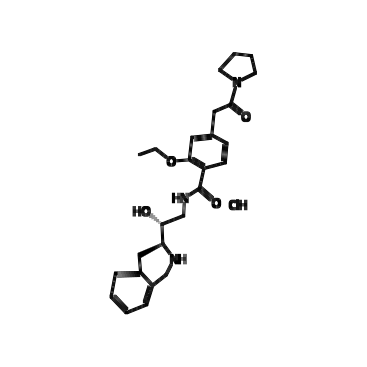 CCOc1cc(CC(=O)N2CCCC2)ccc1C(=O)NC[C@@H](O)[C@@H]1Cc2ccccc2CN1.Cl